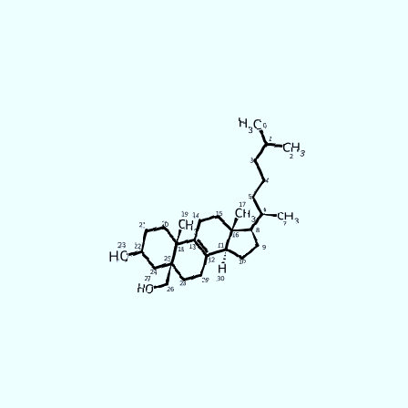 CC(C)CCC[C@@H](C)[C@H]1CC[C@H]2C3=C(CC[C@]12C)[C@@]1(C)CCC(O)C[C@@]1(CO)CC3